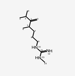 C=C(C(C)C)C(C)CCCNC(=N)NC